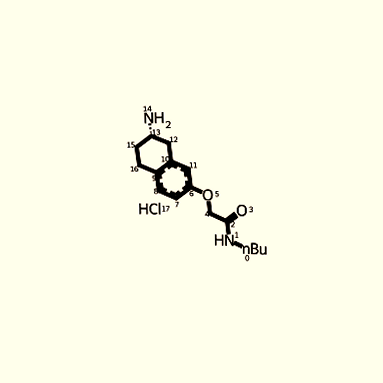 CCCCNC(=O)COc1ccc2c(c1)C[C@@H](N)CC2.Cl